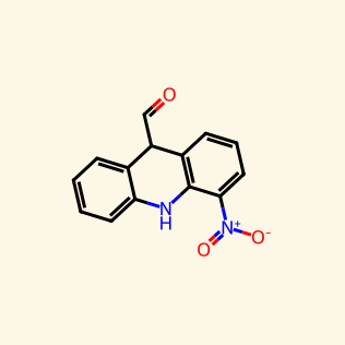 O=CC1c2ccccc2Nc2c1cccc2[N+](=O)[O-]